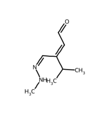 CN/N=C\C(=C/C=O)C(C)C